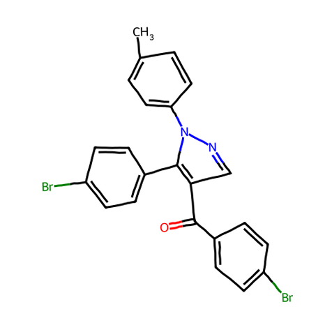 Cc1ccc(-n2ncc(C(=O)c3ccc(Br)cc3)c2-c2ccc(Br)cc2)cc1